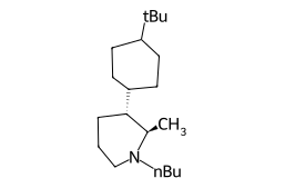 CCCCN1CCC[C@H](C2CCC(C(C)(C)C)CC2)[C@H]1C